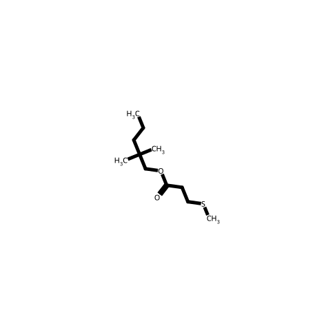 CCCC(C)(C)COC(=O)CCSC